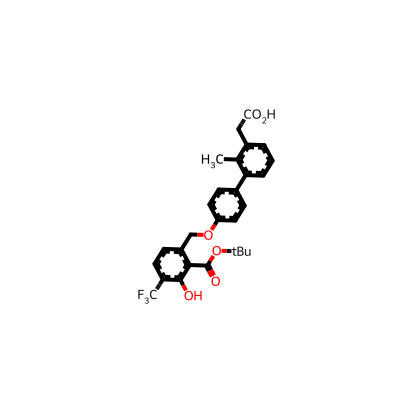 Cc1c(CC(=O)O)cccc1-c1ccc(OCc2ccc(C(F)(F)F)c(O)c2C(=O)OC(C)(C)C)cc1